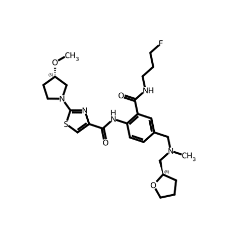 CO[C@H]1CCN(c2nc(C(=O)Nc3ccc(CN(C)C[C@H]4CCCO4)cc3C(=O)NCCCF)cs2)C1